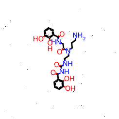 NCCCN(CCNC(=O)NC(=O)c1cccc(O)c1O)C(=O)CNC(=O)c1cccc(O)c1O